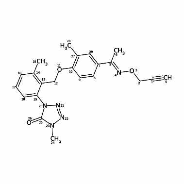 C#CCO/N=C(\C)c1ccc(OCc2c(C)cccc2-n2nnn(C)c2=O)c(C)c1